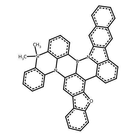 C[Si]1(C)c2ccccc2N2c3cc4c(oc5ccccc54)c4c3B(c3cccc1c32)n1c2cc3ccccc3cc2c2cccc-4c21